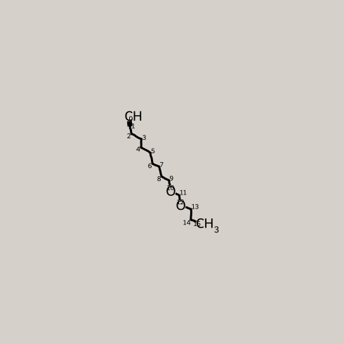 C#CCCCCCCCCOCOCCC